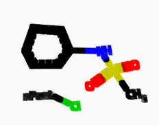 CCCCCCl.CS(=O)(=O)Nc1ccccc1